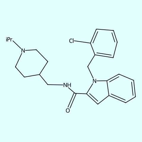 CC(C)N1CCC(CNC(=O)c2cc3ccccc3n2Cc2ccccc2Cl)CC1